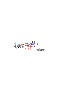 CCCCCCCCCCCCCC[N+](C)(C)CC(O)COCCC[Si](C)(C)C